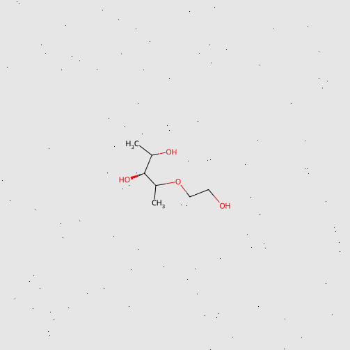 CC(O)[C@H](O)C(C)OCCO